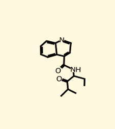 CCC(NC(=O)c1ccnc2ccccc12)C(=O)C(C)C